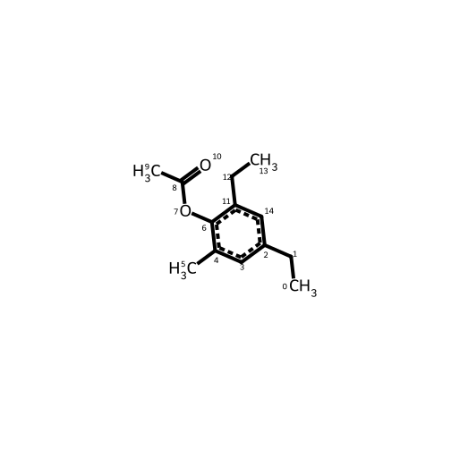 CCc1cc(C)c(OC(C)=O)c(CC)c1